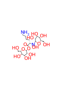 NCCCC[C@@H](C(=O)OC1O[C@H](CO)[C@H](O)[C@H](O)[C@H]1O)N(O)C1O[C@H](CO)[C@@H](O)[C@H](O)[C@H]1O